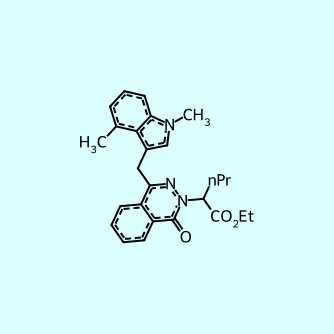 CCCC(C(=O)OCC)n1nc(Cc2cn(C)c3cccc(C)c23)c2ccccc2c1=O